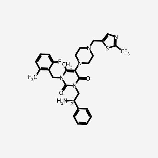 Cc1c(N2CCN(Cc3cnc(C(F)(F)F)s3)CC2)c(=O)n(C[C@H](N)c2ccccc2)c(=O)n1Cc1c(F)cccc1C(F)(F)F